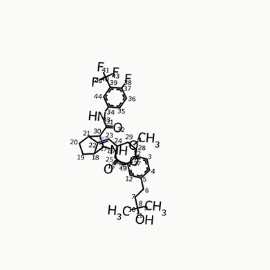 COc1ccc(CCC(C)(C)O)cc1C(=O)NC1C2CCC(/C2=C/C2CCOCC2)C1C(=O)Nc1ccc(F)c(C(F)(F)F)c1